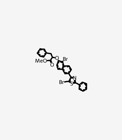 COC(=O)C(Cc1ccccc1)Oc1ccc2cc(-c3nc(-c4ccccc4)sc3Br)ccc2c1Br